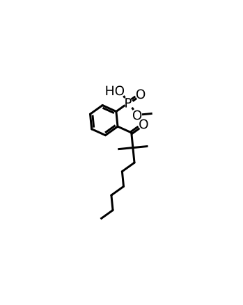 CCCCCCC(C)(C)C(=O)c1ccccc1P(=O)(O)OC